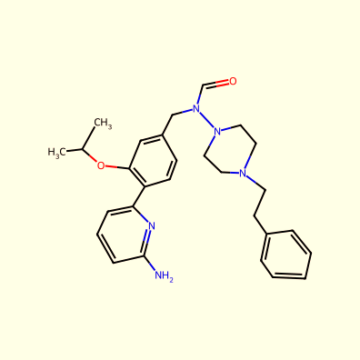 CC(C)Oc1cc(CN(C=O)N2CCN(CCc3ccccc3)CC2)ccc1-c1cccc(N)n1